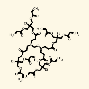 C=CC(=O)OCC(CC)(COC(=O)C=C)COC(=O)CCN(CCC(=O)OCC(CC)(COC(=O)C=C)COC(=O)C=C)CON(CCC(=O)OCC(CC)(COC(=O)C=C)COC(=O)C=C)CCC(=O)OCC(CC)(COC(=O)C=C)COC(=O)C=C